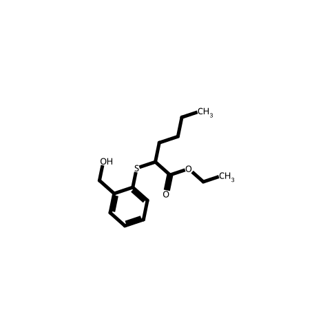 CCCCC(Sc1ccccc1CO)C(=O)OCC